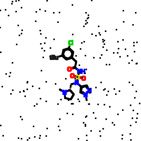 CN1CCC[C@H]1CN(c1cnn(C)c1)S(=O)(=O)NC(=O)Cc1cc(Cl)cc(C(C)(C)C)c1